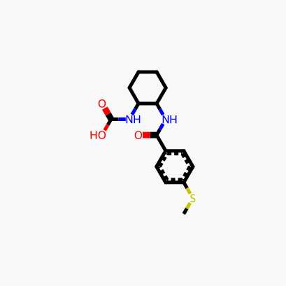 CSc1ccc(C(=O)NC2CCCCC2NC(=O)O)cc1